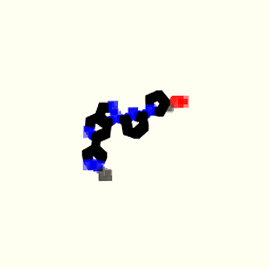 CCn1cc(-c2cc3c(cn2)cnn3-c2cccc(N3CC[C@H](O)C3)n2)cn1